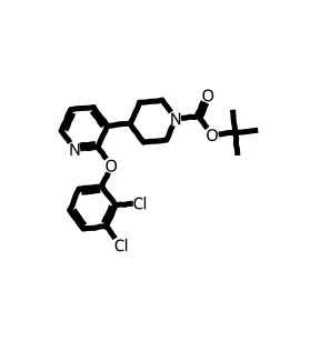 CC(C)(C)OC(=O)N1CCC(c2cccnc2Oc2cccc(Cl)c2Cl)CC1